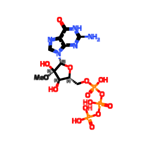 CO[C@@]1(O)[C@H](O)[C@@H](COP(=O)(O)OP(=O)(O)OP(=O)(O)O)O[C@H]1n1cnc2c(=O)[nH]c(N)nc21